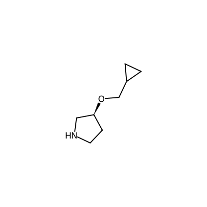 C1C[C@H](OCC2CC2)CN1